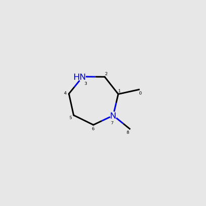 CC1CNCCCN1C